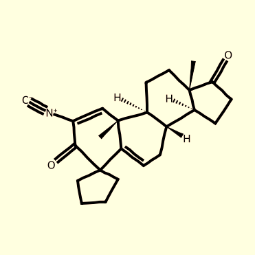 [C-]#[N+]C1=C[C@@]2(C)C(=CC[C@@H]3[C@@H]2CC[C@]2(C)C(=O)CC[C@@H]32)C2(CCCC2)C1=O